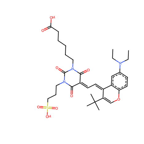 CCN(CC)c1ccc2c(c1)C(=CC=C1C(=O)N(CCCCCC(=O)O)C(=O)N(CCCS(=O)(=O)O)C1=O)C(C(C)(C)C)=CO2